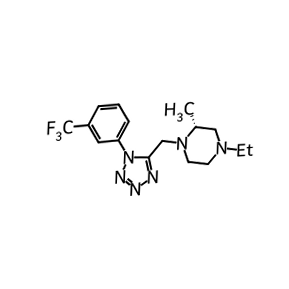 CCN1CCN(Cc2nnnn2-c2cccc(C(F)(F)F)c2)[C@H](C)C1